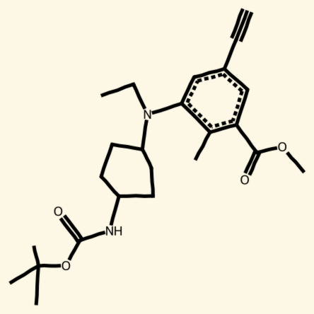 C#Cc1cc(C(=O)OC)c(C)c(N(CC)C2CCC(NC(=O)OC(C)(C)C)CC2)c1